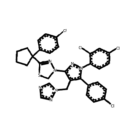 Clc1ccc(-c2c(Cn3cncn3)c(N3CSC(C4(c5ccc(Cl)cc5)CCCC4)=N3)nn2-c2ccc(Cl)cc2Cl)cc1